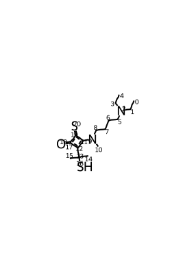 CCN(CC)CCCCN(C)c1c(C(C)(C)S)c(=O)c1=S